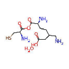 NCC(CC[C@H](N)C(=O)OC(=O)[C@@H](N)CS)CC(=O)O.O